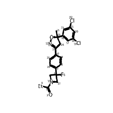 CCC(=O)N1CC(F)(c2ccc(C3=NOC(C)(c4cc(Cl)cc(Cl)c4)C3)cc2)C1